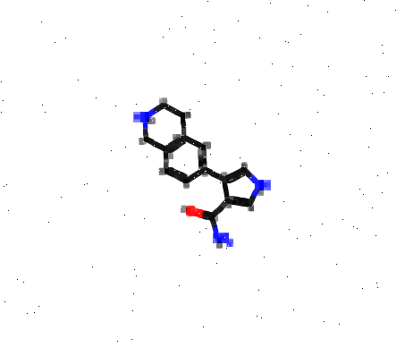 NC(=O)c1c[nH]cc1-c1ccc2c(c1)CCNC2